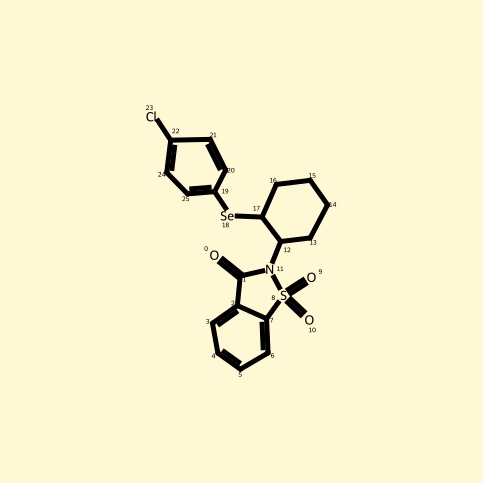 O=C1c2ccccc2S(=O)(=O)N1C1CCCCC1[Se]c1ccc(Cl)cc1